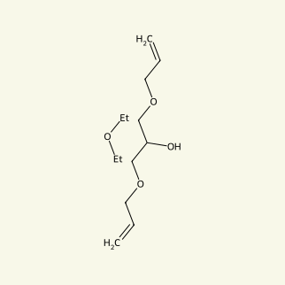 C=CCOCC(O)COCC=C.CCOCC